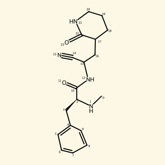 CN[C@@H](Cc1ccccc1)C(=O)NC(C#N)CC1CCCNC1=O